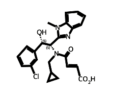 Cn1c([C@@H]([C@@H](O)c2cccc(Cl)c2)N(CC2CC2)C(=O)C=CC(=O)O)nc2ccccc21